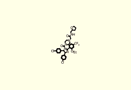 CCOc1cc(C(F)(F)F)ccc1C1=NC(c2ccc(Cl)cc2)C(c2ccc(Cl)cc2)N1C(=O)N1CCN(CC(=O)NCC2CCCO2)CC1